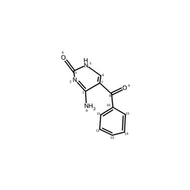 Nc1nc(=O)[nH]cc1C(=O)c1ccccc1